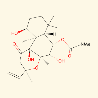 C=C[C@@]1(C)CC(=O)[C@]2(O)[C@@]3(C)[C@@H](O)CCC(C)(C)[C@@H]3[C@H](OC(=O)NC)[C@H](O)[C@@]2(C)O1